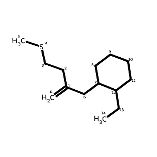 C=C(CCSC)CC1CCCCC1CC